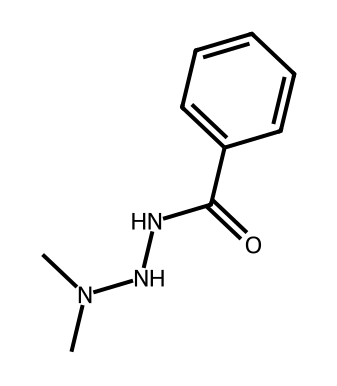 CN(C)NNC(=O)c1ccccc1